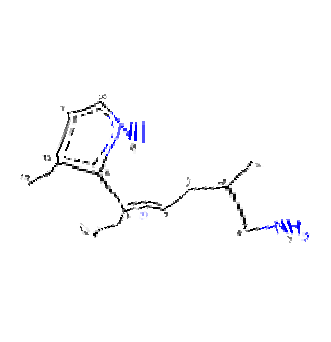 C/C(=C/CC(C)CN)c1[nH]ccc1C